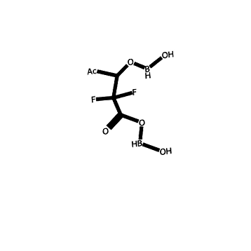 CC(=O)C(OBO)C(F)(F)C(=O)OBO